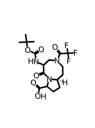 CC(C)(C)OC(=O)NC1CN(C(=O)C(F)(F)F)CC[C@H]2CCC(C(=O)O)N2C1=O